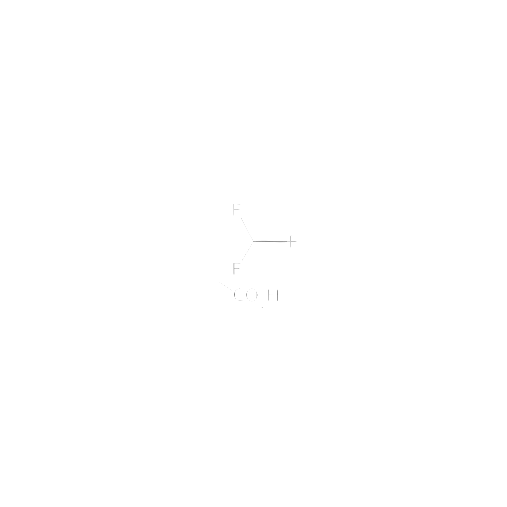 CC(=O)O.FC(F)F